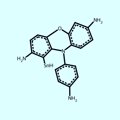 Nc1ccc(N2c3ccc(N)cc3Oc3ccc(N)[c]([SnH])c32)cc1